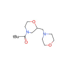 CC(C)(C)C(=O)N1CCOC(CN2CCOCC2)C1